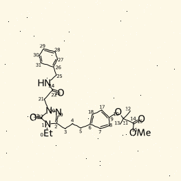 CCn1c(CCCc2ccc(OC(C)(C)C(=O)OC)cc2)nn(CC(=O)NCc2ccccc2)c1=O